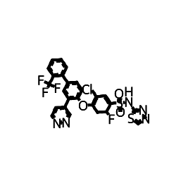 O=S(=O)(Nc1nncs1)C1=CC(Cl)=C(Oc2ccc(-c3ccccc3C(F)(F)F)cc2-c2ccnnc2)CC1F